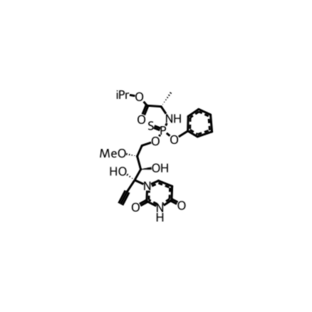 C#C[C@@](O)([C@H](O)[C@@H](COP(=S)(N[C@@H](C)C(=O)OC(C)C)Oc1ccccc1)OC)n1ccc(=O)[nH]c1=O